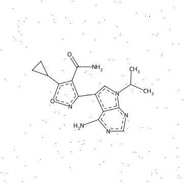 CC(C)n1cc(-c2noc(C3CC3)c2C(N)=O)c2c(N)ncnc21